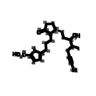 CCC#CCC(C)C(O)CC[C@H]1CCC(=O)N1CCCc1ccc(C(=O)O)s1